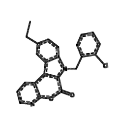 CCc1ccc2c(c1)c1c3cccnc3oc(=O)c1n2Cc1ccccc1Cl